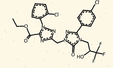 CCOC(=O)c1nc(Cn2nc(-c3ccc(Cl)cc3)n(CC(O)C(F)(F)F)c2=O)nn1-c1ccccc1Cl